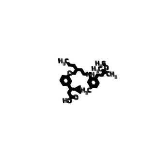 CCCC(CCNc1cc(C)ccc1CCC(C)(C)OC)COc1cccc(C(CC(=O)O)C2CC2)c1